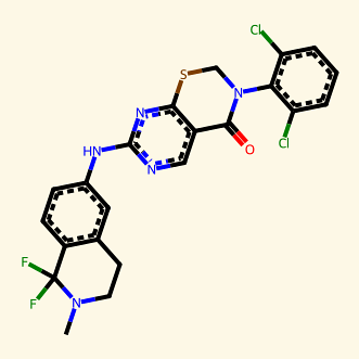 CN1CCc2cc(Nc3ncc4c(n3)SCN(c3c(Cl)cccc3Cl)C4=O)ccc2C1(F)F